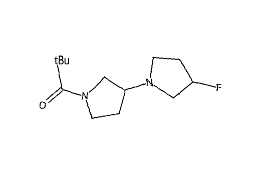 CC(C)(C)C(=O)N1CCC(N2CCC(F)C2)C1